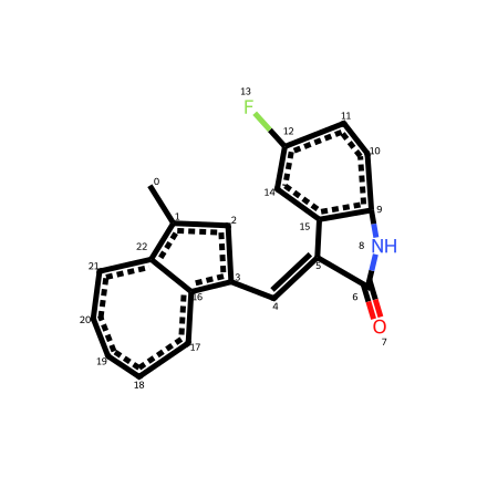 Cc1cc(/C=C2/C(=O)Nc3ccc(F)cc32)c2cccccc1-2